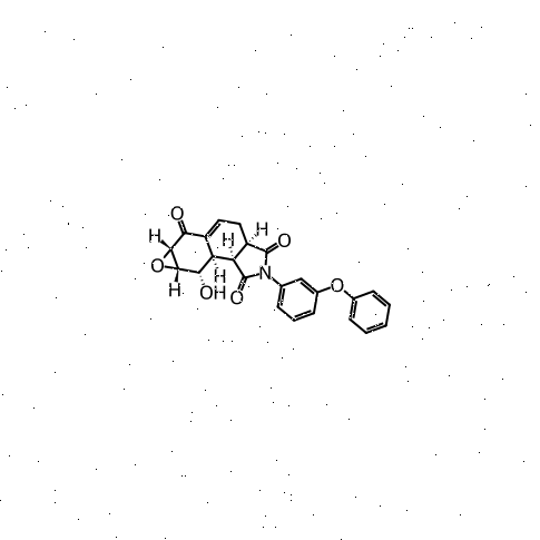 O=C1C2=CC[C@H]3C(=O)N(c4cccc(Oc5ccccc5)c4)C(=O)[C@H]3[C@H]2[C@H](O)[C@@H]2O[C@H]12